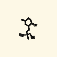 CC1CCC(C(C)C)C(OCC(C)(O)CO)C1